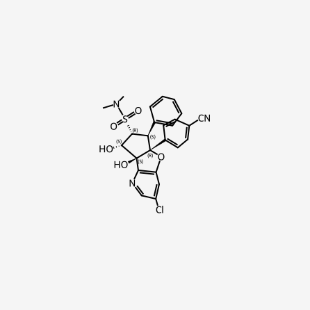 CN(C)S(=O)(=O)[C@H]1[C@@H](O)[C@@]2(O)c3ncc(Cl)cc3O[C@@]2(c2ccc(C#N)cc2)[C@@H]1c1ccccc1